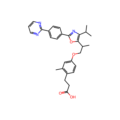 Cc1cc(OCC(C)c2oc(-c3ccc(-c4ncccn4)cc3)nc2C(C)C)ccc1CCC(=O)O